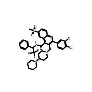 CS(=O)(=O)c1ccc2nc(-c3ccc(Cl)c(Cl)c3)c(CN3CCC(N4CCCCC4)CC3)c(C(=O)NC(c3ccccc3)C(F)(F)F)c2c1